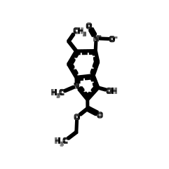 CCOC(=O)c1c(O)c2cc([N+](=O)[O-])c(CC)cc2n1C